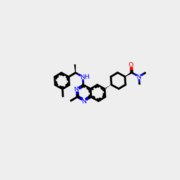 Cc1cccc([C@@H](C)Nc2nc(C)nc3ccc([C@H]4CC[C@H](C(=O)N(C)C)CC4)cc23)c1